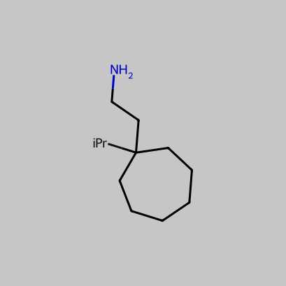 CC(C)C1(CCN)CCCCCC1